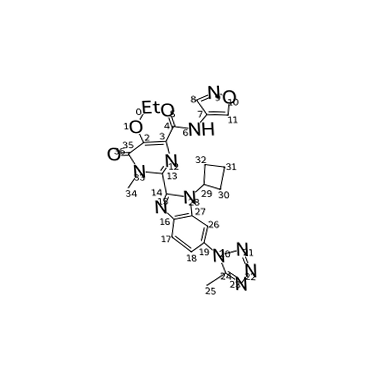 CCOc1c(C(=O)Nc2cnoc2)nc(-c2nc3ccc(-n4nnnc4C)cc3n2C2CCC2)n(C)c1=O